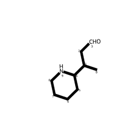 CC(CC=O)C1CCCCN1